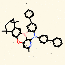 Cc1cc2c3c(n1)N(c1ccc(-c4ccccc4)cc1)c1ccc(-c4ccccc4)cc1B3c1cc3c(cc1O2)C(C)(C)CC1=CC13C